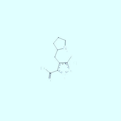 CCC(=O)c1onc(C)c1CC1CCCN1.Cl